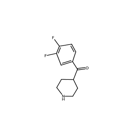 O=C(c1ccc(F)c(F)c1)C1CCNCC1